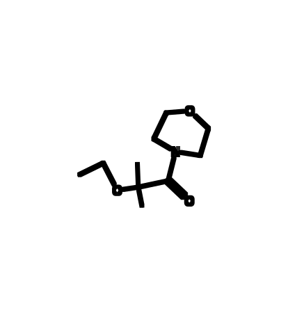 CCOC(C)(C)C(=O)N1CCOCC1